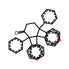 O=C1CCC(c2ccccc2)(c2ccccc2)C(c2ccccc2)(c2ccccc2)C1(c1ccccc1)c1ccccc1